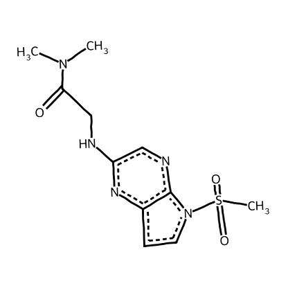 CN(C)C(=O)CNc1cnc2c(ccn2S(C)(=O)=O)n1